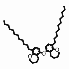 CCCCCCCCCCCCc1ccc(Oc2ccc(CCCCCCCCCCCC)c3c2CCCCO3)c2c1OCCCC2